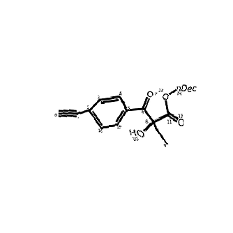 C#Cc1ccc(C(=O)C(C)(O)C(=O)OCCCCCCCCCC)cc1